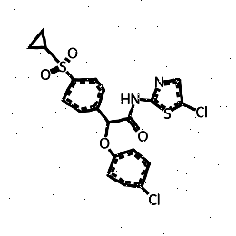 O=C(Nc1ncc(Cl)s1)C(Oc1ccc(Cl)cc1)c1ccc(S(=O)(=O)C2CC2)cc1